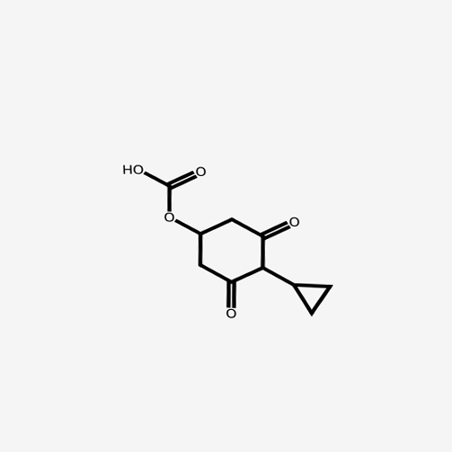 O=C(O)OC1CC(=O)C(C2CC2)C(=O)C1